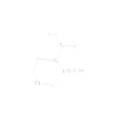 C=C1CNCCN1N(C)F